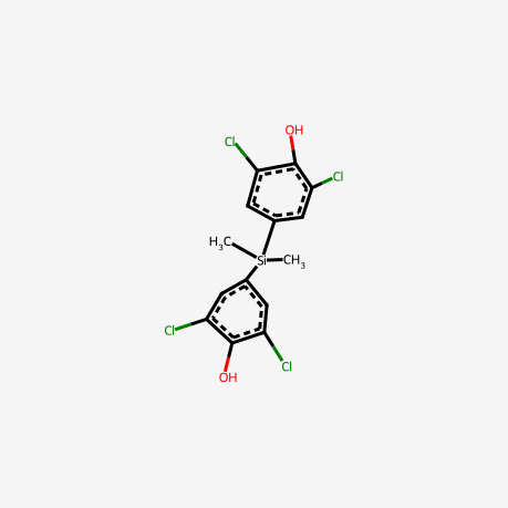 C[Si](C)(c1cc(Cl)c(O)c(Cl)c1)c1cc(Cl)c(O)c(Cl)c1